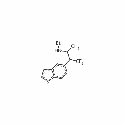 CCNC(C)C(c1ccc2sccc2c1)C(F)(F)F